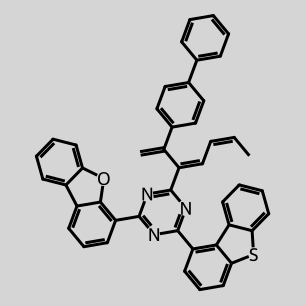 C=C(/C(=C\C=C/C)c1nc(-c2cccc3c2oc2ccccc23)nc(-c2cccc3sc4ccccc4c23)n1)c1ccc(-c2ccccc2)cc1